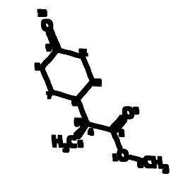 COC(=O)[C@@H](C)C1CCC(=O)CC1